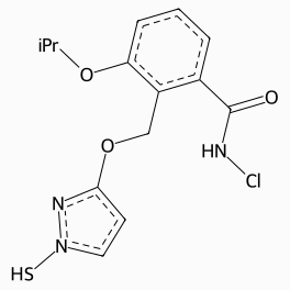 CC(C)Oc1cccc(C(=O)NCl)c1COc1ccn(S)n1